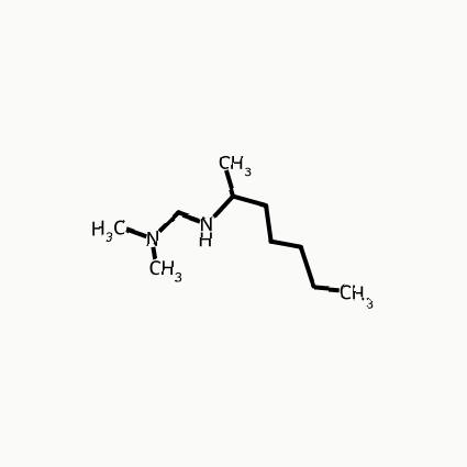 CCCCCC(C)NCN(C)C